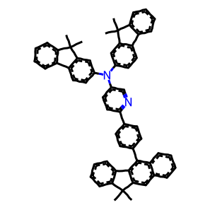 CC1(C)c2ccccc2-c2ccc(N(c3ccc(-c4ccc(-c5c6c(cc7ccccc57)C(C)(C)c5ccccc5-6)cc4)nc3)c3ccc4c(c3)C(C)(C)c3ccccc3-4)cc21